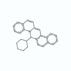 C1=Cc2ccccc2N2C1=Cc1c3ccccc3cc[n+]1C2C1CCCCC1